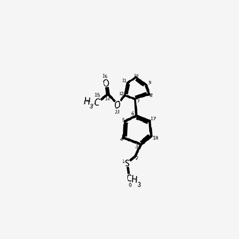 CSCc1ccc(-c2ccccc2OC(C)=O)cc1